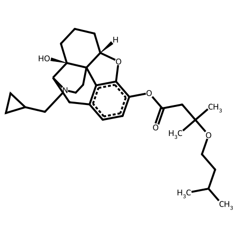 CC(C)CCOC(C)(C)CC(=O)Oc1ccc2c3c1O[C@H]1CCC[C@@]4(O)C(C2)N(CC2CC2)CCC314